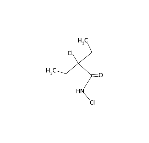 CCC(Cl)(CC)C(=O)NCl